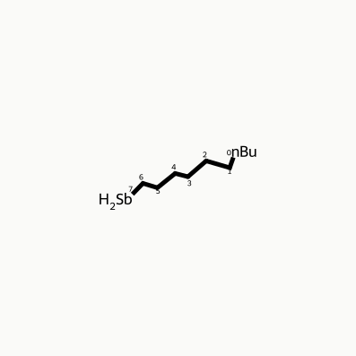 CCCCCCCCC[CH2][SbH2]